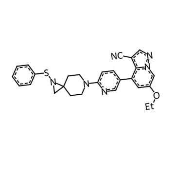 CCOc1cc(-c2ccc(N3CCC4(CC3)CN4Sc3ccccc3)nc2)c2c(C#N)cnn2c1